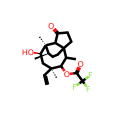 C=C[C@@]1(C)C[C@@H](O)[C@@]2(C)C3C(=O)CCC3(CC[C@H]2C)C(C)C1OC(=O)C(F)(F)F